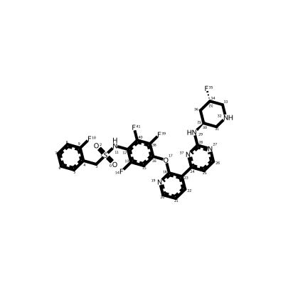 O=S(=O)(Cc1ccccc1F)Nc1c(F)cc(Oc2ncccc2-c2ccnc(N[C@@H]3CNC[C@@H](F)C3)n2)c(F)c1F